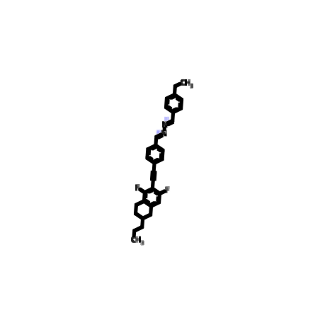 CCCC1CCc2c(cc(F)c(C#Cc3ccc(/C=N/N=C/c4ccc(CC)cc4)cc3)c2F)C1